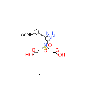 CC(=O)Nc1cccc(C#Cc2cc(C(=O)N=S(=O)(CCCCC(=O)CO)CCCCC(=O)CO)cnc2N)c1